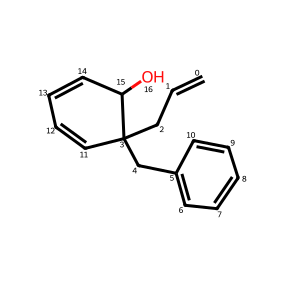 C=CCC1(Cc2ccccc2)C=CC=CC1O